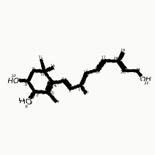 CC(C=CC1=C(C)C(O)C(O)CC1(C)C)=CC=CC(C)=CCO